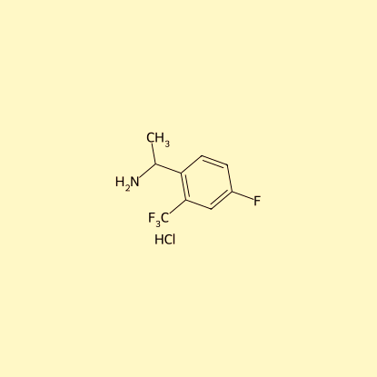 CC(N)c1ccc(F)cc1C(F)(F)F.Cl